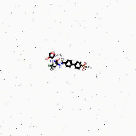 C[C@H]1OCC(=O)[C@H]1NC(=O)[C@H](CC(C)(C)F)N[C@@H](c1ccc(-c2ccc(S(C)(=O)=O)cc2)cc1)C(F)(F)F